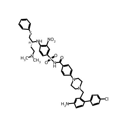 CN(C)CC[C@H](CSc1ccccc1)Nc1ccc(S(=O)(=O)NC(=O)c2ccc(N3CCN(Cc4cc(N)ccc4-c4ccc(Cl)cc4)CC3)cc2)cc1[N+](=O)[O-]